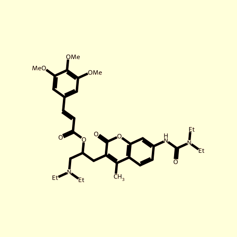 CCN(CC)CC(Cc1c(C)c2ccc(NC(=O)N(CC)CC)cc2oc1=O)OC(=O)/C=C/c1cc(OC)c(OC)c(OC)c1